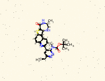 C=Cc1cc(-c2ccc3c(ccc4sc5c(c43)NC[C@@H](C)NC5=O)n2)c(N(C)C(=O)OC(C)(C)C)nn1